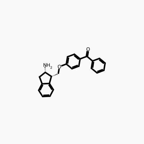 N[C@H]1Cc2ccccc2[C@H]1COc1ccc(C(=O)c2ccccc2)cc1